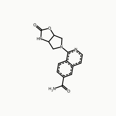 NC(=O)c1ccc2c(N3CC4NC(=O)OC4C3)nccc2c1